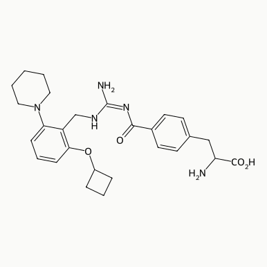 NC(=NC(=O)c1ccc(CC(N)C(=O)O)cc1)NCc1c(OC2CCC2)cccc1N1CCCCC1